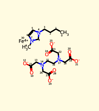 CCCCN1C=CN(C)C1.O=C([O-])CN(CCN(CC(=O)[O-])CC(=O)[O-])CC(=O)[O-].[Fe+4]